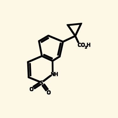 O=C(O)C1(c2ccc3c(c2)NS(=O)(=O)C=C3)CC1